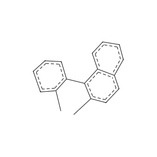 Cc1ccccc1-c1c(C)ccc2ccccc12